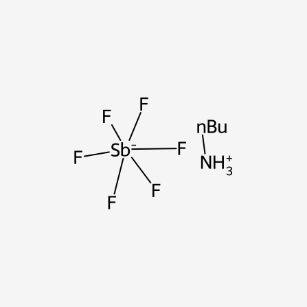 CCCC[NH3+].[F][Sb-]([F])([F])([F])([F])[F]